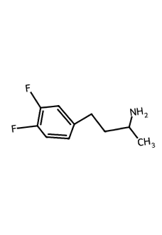 CC(N)CCc1ccc(F)c(F)c1